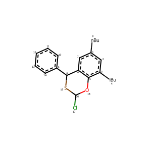 CCCCc1cc(C(C)CC)c2c(c1)C(c1ccccc1)SC(Cl)O2